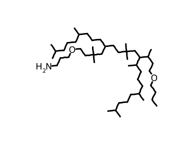 CCCCOCCC(C)C(CC(C)(C)CCC(CCCC(C)CCCC(C)C)CC(C)(C)CCOCCCN)C(C)CCCC(C)CCCC(C)C